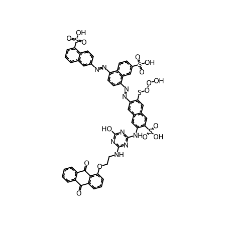 O=C1c2ccccc2C(=O)c2c(OCCNc3nc(O)nc(Nc4cc5cc(/N=N/c6ccc(/N=N/c7ccc8c(S(=O)(=O)O)cccc8c7)c7ccc(S(=O)(=O)O)cc67)c(SOOO)cc5cc4S(=O)(=O)O)n3)cccc21